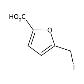 O=C(O)c1ccc(CI)o1